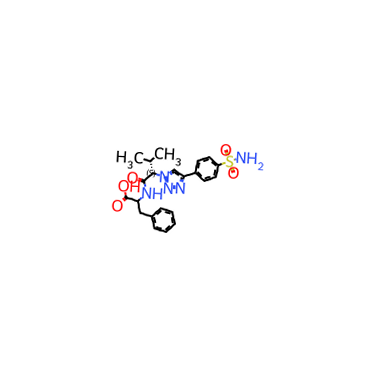 CC(C)[C@@H](C(=O)NC(Cc1ccccc1)C(=O)O)n1cc(-c2ccc(S(N)(=O)=O)cc2)nn1